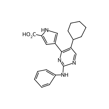 O=C(O)c1cc(-c2nc(Nc3ccccc3)ncc2C2CCCCC2)c[nH]1